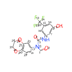 O=CN(C(=O)Nc1cc(O)cc(C(F)(F)F)c1)c1ccc2c(c1)OCCO2